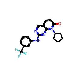 O=c1ccc2cnc(Nc3cccc(C(F)(F)F)c3)nc2n1C1CCCC1